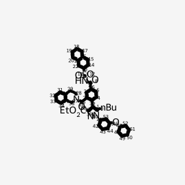 CCCCc1c(-c2ccc(C(=O)NS(=O)(=O)c3ccc4ccccc4c3)cc2C(=O)N2CCc3ccccc3C2)c(C(=O)OCC)nn1-c1cccc(Oc2ccccc2)c1